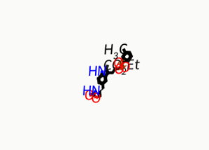 CCOC(=O)c1[nH]c2ccc(C[C@H]3COC(=O)N3)cc2c1CCOS(=O)(=O)c1cccc(C)c1